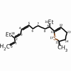 C=C/C(=C/C=C\CCCC(CC)C1=CCCC(C)S1)CC